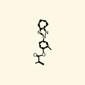 C=C(C)C(=O)Oc1ccc(-n2nc3ccccc3n2)cc1C